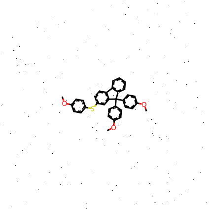 COc1ccc(Sc2ccc3c(c2)C(c2ccc(OC)cc2)(c2ccc(OC)cc2)c2ccccc2-3)cc1